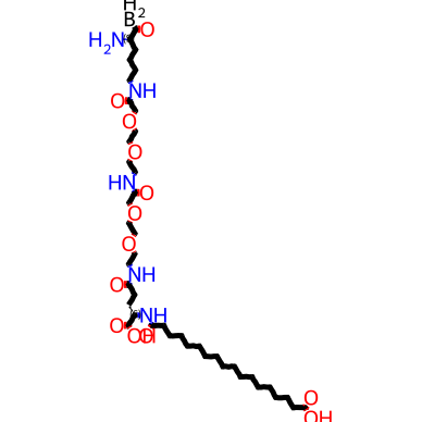 BC(=O)[C@@H](N)CCCCNC(=O)COCCOCCNC(=O)COCCOCCNC(=O)CC[C@H](NC(=O)CCCCCCCCCCCCCCCCC(=O)O)C(=O)O